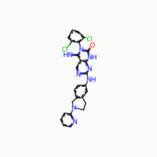 N=c1c2cnc(Nc3ccc4c(c3)CCN(c3ccccn3)C4)nc2[nH]c(=O)n1-c1c(Cl)cccc1Cl